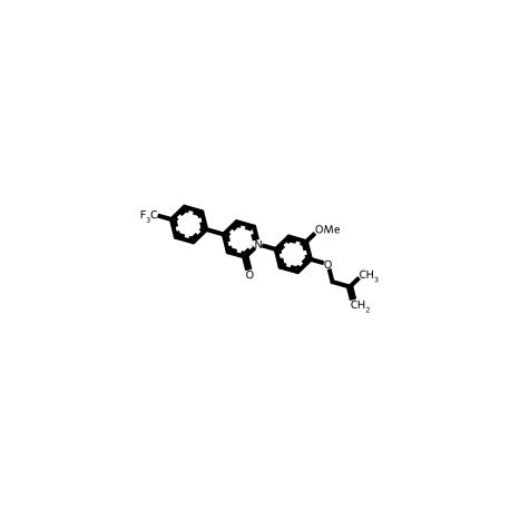 C=C(C)COc1ccc(-n2ccc(-c3ccc(C(F)(F)F)cc3)cc2=O)cc1OC